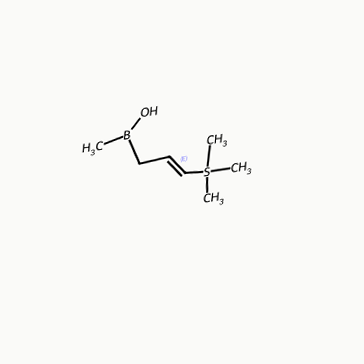 CB(O)C/C=C/S(C)(C)C